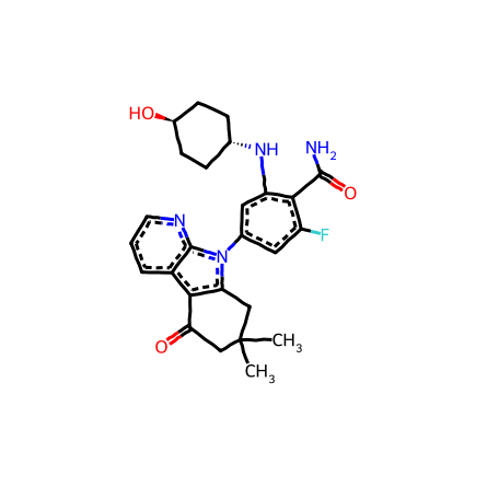 CC1(C)CC(=O)c2c(n(-c3cc(F)c(C(N)=O)c(N[C@H]4CC[C@H](O)CC4)c3)c3ncccc23)C1